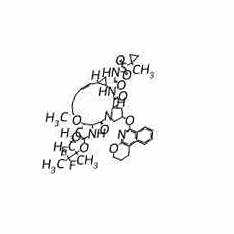 C[C@@H]1CC/C=C\[C@@H]2C[C@@]2(C(=O)NS(=O)(=O)C2(C)CC2)NC(=O)[C@@H]2C[C@@H](Oc3nc4c(c5ccccc35)CCCO4)CN2C(=O)[C@@H](NC(=O)OC(C)(C)C(C)(F)F)[C@H](C)O1